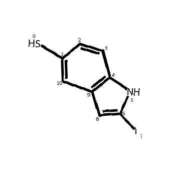 Sc1ccc2[nH]c(I)cc2c1